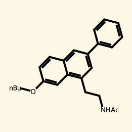 CCCCOc1ccc2cc(-c3ccccc3)cc(CCNC(C)=O)c2c1